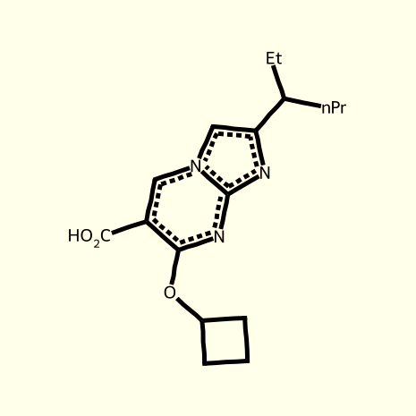 CCCC(CC)c1cn2cc(C(=O)O)c(OC3CCC3)nc2n1